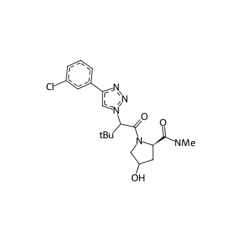 CNC(=O)[C@H]1CC(O)CN1C(=O)C(n1cc(-c2cccc(Cl)c2)nn1)C(C)(C)C